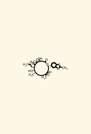 C=CC[C@H]1C(=O)C(C)(C)[C@@H](O)CC(=O)O[C@H](c2ccc3sc(C)nc3c2)C[C@@H]2OC2(C)CCC[C@H](C)[C@@H]1O